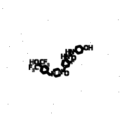 O=C(Nc1ccc(C(=O)N2CCN(Cc3ccc(C(O)(C(F)(F)F)C(F)(F)F)cc3)CC2)cc1F)NC1CCC(O)CC1